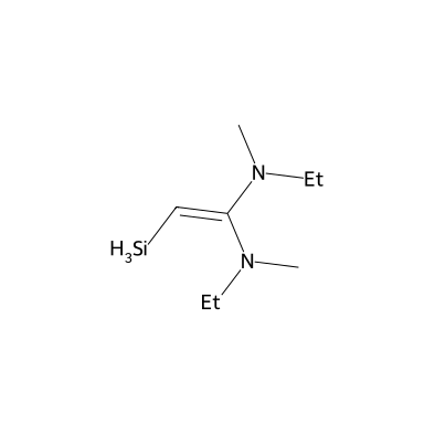 CCN(C)C(=C[SiH3])N(C)CC